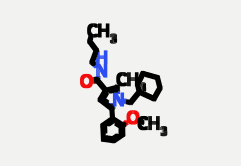 CCCCNC(=O)c1cc(-c2ccccc2OC)n(CC2CCCCC2)c1C